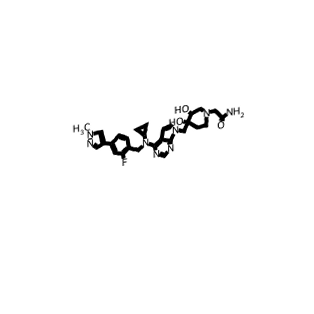 Cn1cc(-c2ccc(CN(c3ncnc4c3ccn4CC3(O)CCN(CC(N)=O)CC3O)C3CC3)c(F)c2)cn1